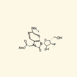 COC(=O)Cn1c(=O)n([C@@H]2O[C@H](CO)[C@@H](F)[C@H]2O)c2nc(N)ncc21